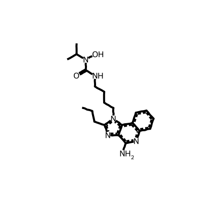 CCCc1nc2c(N)nc3ccccc3c2n1CCCCNC(=O)N(O)C(C)C